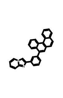 c1cc(-c2cn3ccccc3n2)cc(-c2cc3ccc4ccccc4c3c3ccccc23)c1